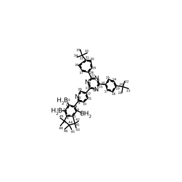 Bc1c(B)c2c(c(B)c1-c1ccc(-c3nc(-c4ccc(C(C)(C)C)cc4)nc(-c4ccc(C(C)(C)C)cc4)n3)cn1)C(C)(C)C(C)(C)C2(C)C